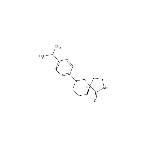 CC(C)c1ccc(N2CCC[C@]3(CCNC3=O)C2)cn1